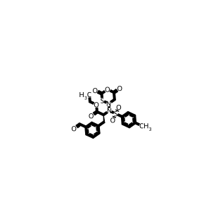 CCOC(=O)[C@H](Cc1cccc(C=O)c1)N(N1CC(=O)OC(=O)S1)S(=O)(=O)c1ccc(C)cc1